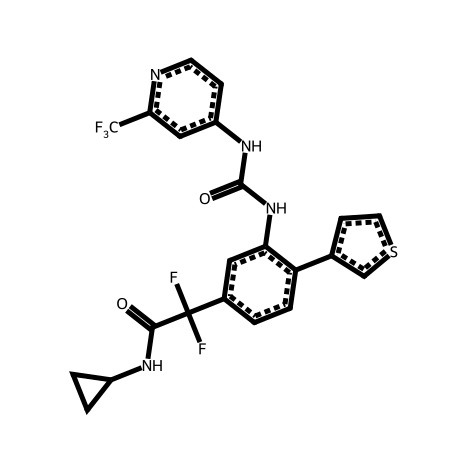 O=C(Nc1ccnc(C(F)(F)F)c1)Nc1cc(C(F)(F)C(=O)NC2CC2)ccc1-c1ccsc1